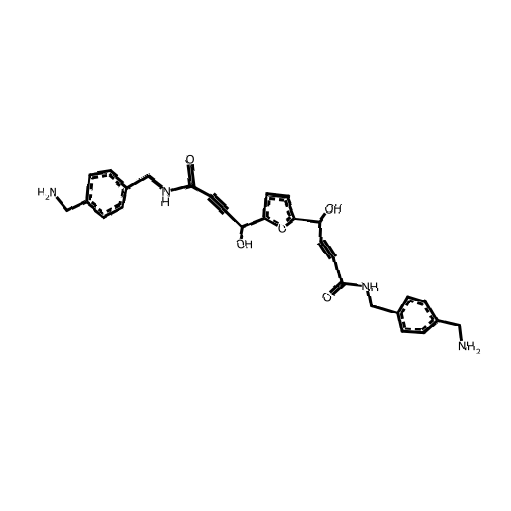 NCc1ccc(CNC(=O)C#CC(O)c2ccc(C(O)C#CC(=O)NCc3ccc(CN)cc3)o2)cc1